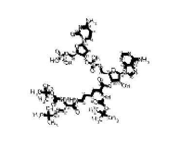 CC(C)(C)OC(=O)NC(CCCCNC(=O)[C@H](CSSC(C)(C)C)NC(=O)OC(C)(C)C)C(=O)O[C@H]1[C@@H](O)[C@H](n2cnc3c(N)ncnc32)O[C@@H]1COP(=O)(O)O[C@H]1C[C@H](n2ccc(N)nc2=O)O[C@@H]1COP(=O)(O)O